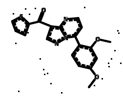 COc1ccc(-c2ccnc3c(C(=O)c4cccs4)cnn23)c(OC)c1